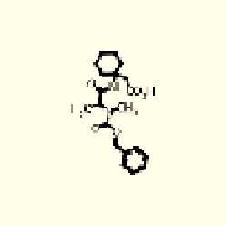 C[C@@H](C(=O)NC1(CC(=O)O)CCCCC1)N(C)C(=O)OCc1ccccc1